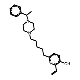 C=Cc1nc(CCCCCN2CCN(C(C)c3ccccc3)CC2)ccc1O